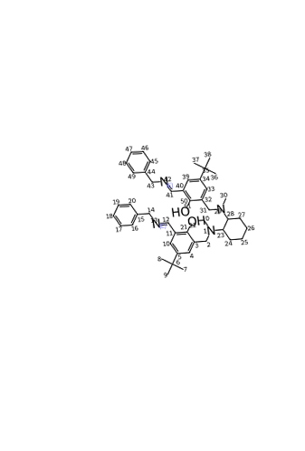 CN(Cc1cc(C(C)(C)C)cc(/C=N/Cc2ccccc2)c1O)C1CCCCC1N(C)Cc1cc(C(C)(C)C)cc(/C=N/Cc2ccccc2)c1O